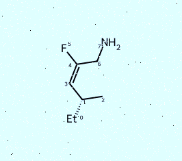 CC[C@@H](C)/C=C(/F)CN